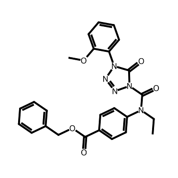 CCN(C(=O)n1nnn(-c2ccccc2OC)c1=O)c1ccc(C(=O)OCc2ccccc2)cc1